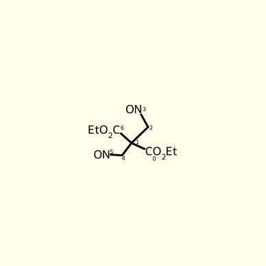 CCOC(=O)C(CN=O)(CN=O)C(=O)OCC